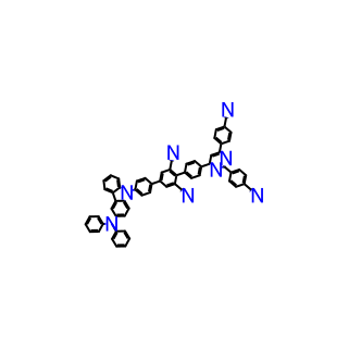 N#Cc1ccc(-c2cc(-c3ccc(-c4c(C#N)cc(-c5ccc(-n6c7ccccc7c7cc(N(c8ccccc8)c8ccccc8)ccc76)cc5)cc4C#N)cc3)nc(-c3ccc(C#N)cc3)n2)cc1